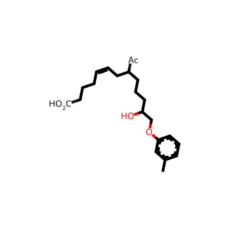 CC(=O)C(C/C=C\CCCC(=O)O)CCCC(O)COc1cccc(C)c1